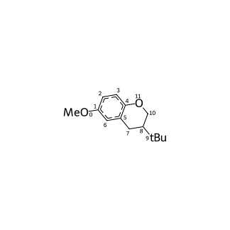 COc1ccc2c(c1)CC(C(C)(C)C)CO2